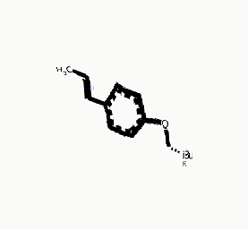 C/C=C/c1ccc(OC[C@@H](C)CC)cc1